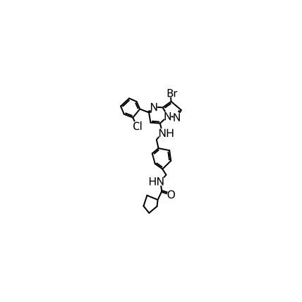 O=C(NCc1ccc(CNc2cc(-c3ccccc3Cl)nc3c(Br)cnn23)cc1)C1CCCC1